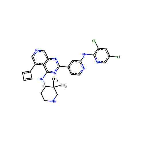 CC1(C)CNCC[C@@H]1Nc1nc(-c2ccnc(Nc3ncc(Cl)cc3Cl)c2)nc2cncc(C3=CC=C3)c12